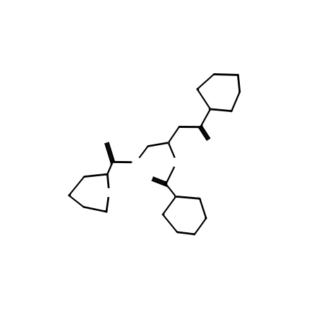 O=C(CC(COC(=O)C1CCCCC1)OC(=O)C1CCCCC1)C1CCCCC1